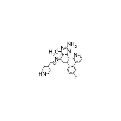 Cc1nc(N)nc2c1C(=NOCC1CCNCC1)CC(c1ccc(F)cc1-c1cccnc1)C2